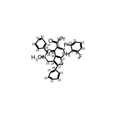 CC(C)C(=O)c1cn(Cc2c(F)cccc2F)c2sc(-c3ccccc3)c(CN(C)Cc3ccccc3)c2c1=O